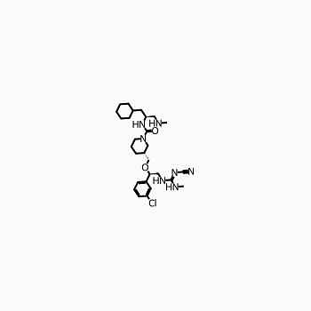 CNC[C@H](CC1CCCCC1)NC(=O)N1CCC[C@@H](CO[C@@H](CNC(=NC#N)NC)c2cccc(Cl)c2)C1